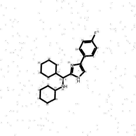 Fc1ccc(-c2c[nH]c([C@@H](NC3CCCCC3)C3CCCCC3)n2)cc1